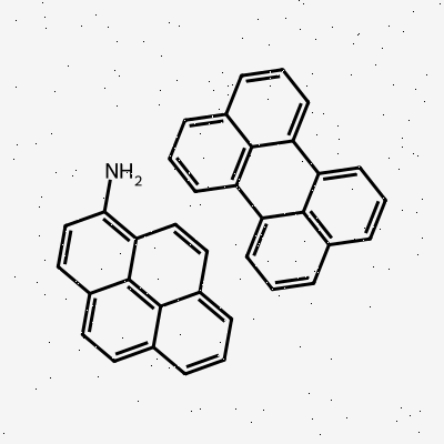 Nc1ccc2ccc3cccc4ccc1c2c34.c1cc2cccc3c4cccc5cccc(c(c1)c23)c54